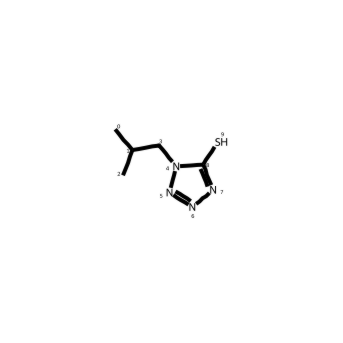 CC(C)Cn1nnnc1S